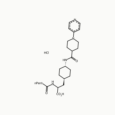 CCCCCC(=O)NC(C[C@H]1CC[C@H](NC(=O)C2CCN(c3ccncc3)CC2)CC1)C(=O)O.Cl